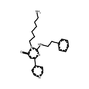 NCCCCCCn1c(NCCc2ccccc2)nc(-c2ccncc2)cc1=O